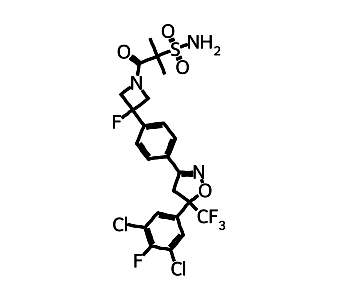 CC(C)(C(=O)N1CC(F)(c2ccc(C3=NOC(c4cc(Cl)c(F)c(Cl)c4)(C(F)(F)F)C3)cc2)C1)S(N)(=O)=O